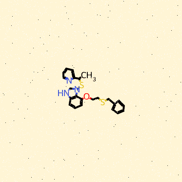 CC(SN1CNc2cccc(OCCSCc3ccccc3)c21)c1ccccn1